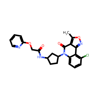 Cc1onc2c1c(=O)n(C1CCC(NC(=O)COc3ccccn3)C1)c1cccc(Cl)c21